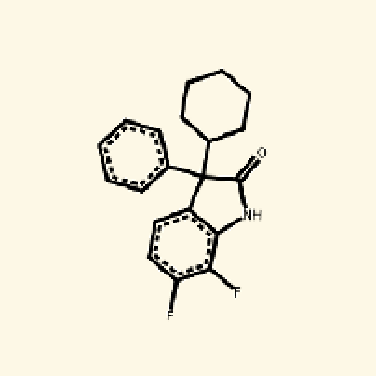 O=C1Nc2c(ccc(F)c2F)C1(c1ccccc1)C1CCCCC1